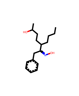 CCCCC(CCC(C)O)C(Cc1ccccc1)=NO